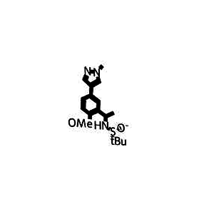 COc1ccc(-c2cnn(C)c2)cc1C(C)N[S@@+]([O-])C(C)(C)C